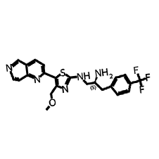 COCc1nc(NC[C@@H](N)Cc2ccc(C(F)(F)F)cc2)sc1-c1ccc2cnccc2n1